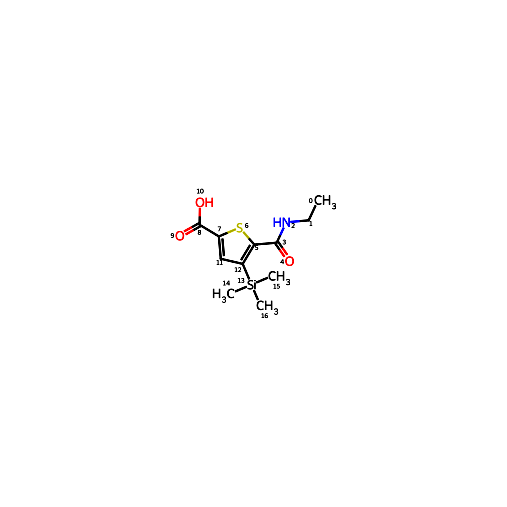 CCNC(=O)c1sc(C(=O)O)cc1[Si](C)(C)C